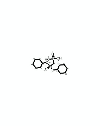 O=P(O)(O)CP(=O)(OC1CCCCC1)OC1CCCCC1